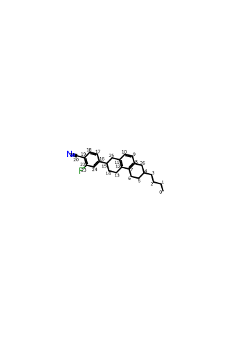 CCCCC1CCc2c(ccc3c2CCC(c2ccc(C#N)c(F)c2)C3)C1